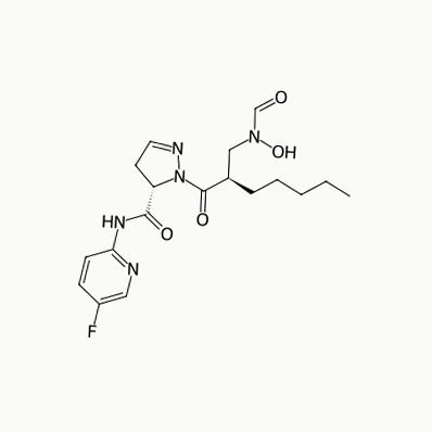 CCCCC[C@H](CN(O)C=O)C(=O)N1N=CC[C@H]1C(=O)Nc1ccc(F)cn1